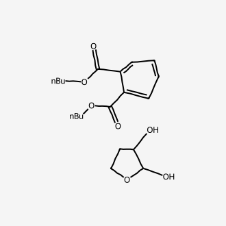 CCCCOC(=O)c1ccccc1C(=O)OCCCC.OC1CCOC1O